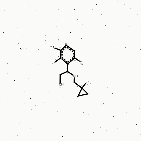 OCC(NCC1(C(F)(F)F)CC1)c1c(Cl)ccc(F)c1Cl